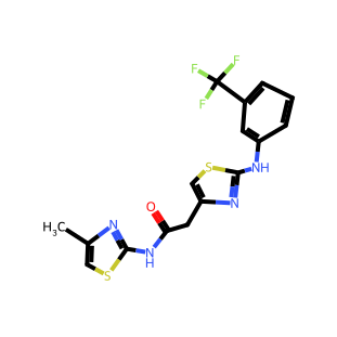 Cc1csc(NC(=O)Cc2csc(Nc3cccc(C(F)(F)F)c3)n2)n1